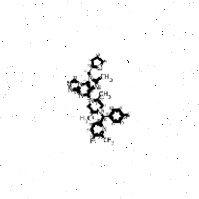 Cc1nc2c(N3C[C@@H](C)N([C@@H](c4ccc(F)cc4)c4ccc(F)c(C(F)(F)F)n4)C[C@@H]3C)nc3nncn3c2n1C[C@@H]1CCCO1